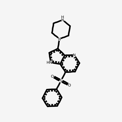 O=S(=O)(c1ccccc1)c1ccnc2c(N3CCNCC3)c[nH]c12